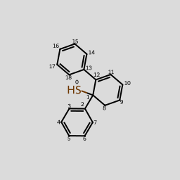 SC1(c2ccccc2)CC=CC=C1c1ccccc1